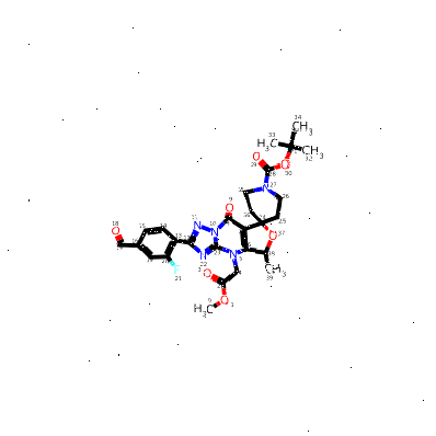 COC(=O)Cn1c2c(c(=O)n3nc(-c4ccc(C=O)cc4F)nc13)C1(CCN(C(=O)OC(C)(C)C)CC1)OC2C